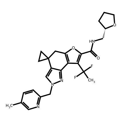 Cc1ccc(Cn2cc3c(n2)-c2c(oc(C(=O)NC[C@@H]4CCCO4)c2C(C)(F)F)CC32CC2)nc1